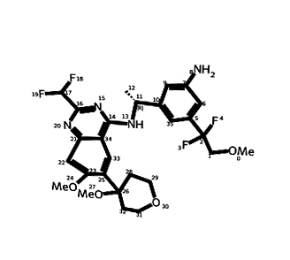 COCC(F)(F)c1cc(N)cc([C@@H](C)Nc2nc(C(F)F)nc3cc(OC)c(C4(OC)CCOCC4)cc23)c1